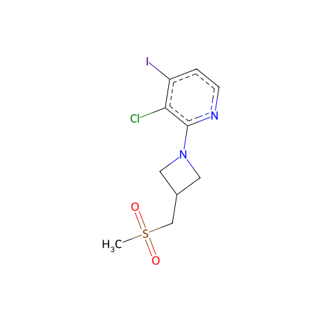 CS(=O)(=O)CC1CN(c2nccc(I)c2Cl)C1